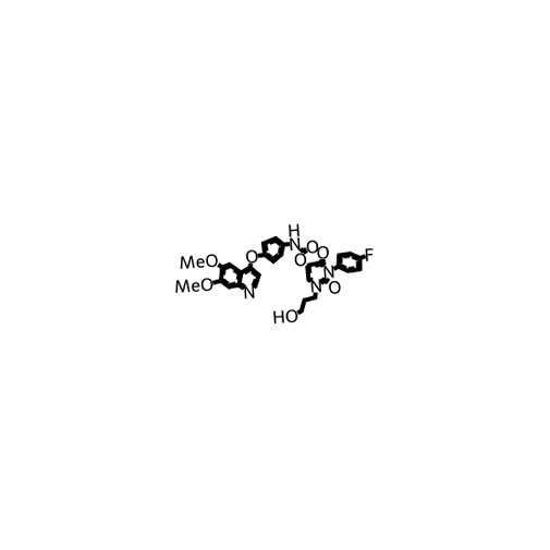 COc1cc2nccc(Oc3ccc(NC(=O)Oc4cn(CCCO)c(=O)n(-c5ccc(F)cc5)c4=O)cc3)c2cc1OC